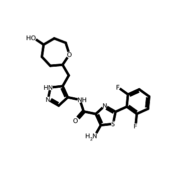 Nc1sc(-c2c(F)cccc2F)nc1C(=O)Nc1cn[nH]c1CC1CCC(O)CCO1